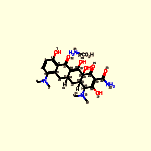 CN(C)c1ccc(O)c2c1C[C@H]1C[C@H]3[C@H](N(C)C)C(O)=C(C(N)=O)C(=O)[C@@]3(O)C(O)=C1C2=O.NC(=O)O